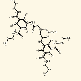 O=C(CN(CCO)CC(=O)Nc1c(I)c(C(=O)NCCO)c(I)c(C(=O)NCCO)c1I)Nc1c(I)c(C(=O)NCCO)c(I)c(C(=O)NCCO)c1I